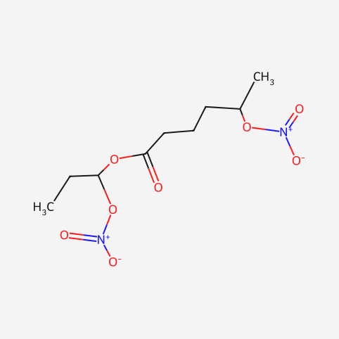 CCC(OC(=O)CCCC(C)O[N+](=O)[O-])O[N+](=O)[O-]